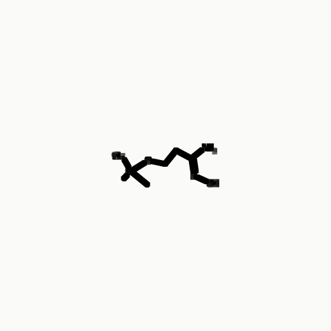 CC(C)(C)[Si](C)(C)OCCC(N)=NO